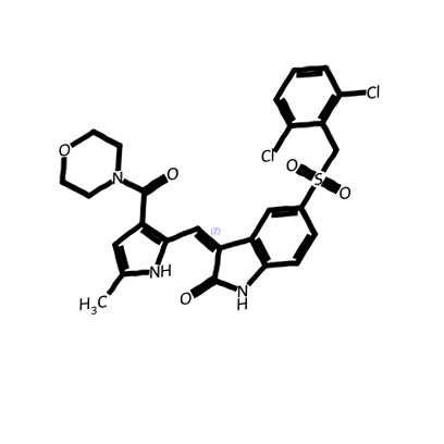 Cc1cc(C(=O)N2CCOCC2)c(/C=C2\C(=O)Nc3ccc(S(=O)(=O)Cc4c(Cl)cccc4Cl)cc32)[nH]1